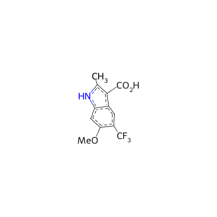 COc1cc2[nH]c(C)c(C(=O)O)c2cc1C(F)(F)F